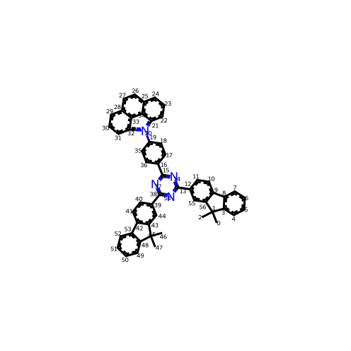 CC1(C)c2ccccc2-c2ccc(-c3nc(-c4ccc(-n5c6cccc7ccc8cccc5c8c76)cc4)nc(-c4ccc5c(c4)C(C)(C)c4ccccc4-5)n3)cc21